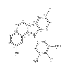 CCc1c(N)cccc1C(=O)O.Oc1ccc2ccc3c4cc(Cl)ccc4[nH]c3c2c1